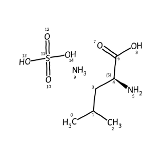 CC(C)C[C@H](N)C(=O)O.N.O=S(=O)(O)O